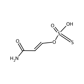 NC(=O)C=COS(=O)(O)=S